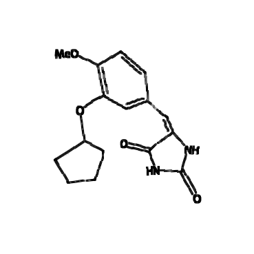 COc1ccc(C=C2NC(=O)NC2=O)cc1OC1CCCC1